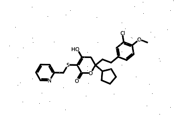 COc1ccc(CCC2(C3CCCC3)CC(O)=C(SCc3ccccn3)C(=O)O2)cc1Cl